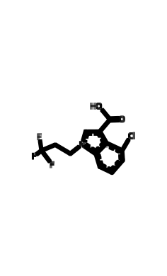 O=C(O)c1cn(CCC(F)(F)F)c2cccc(Cl)c12